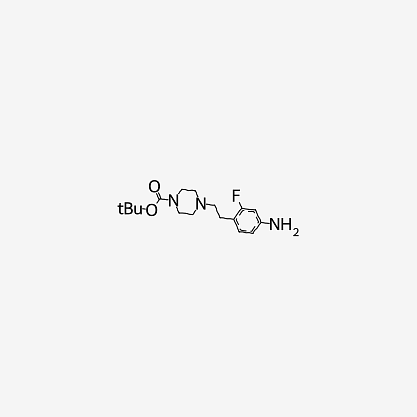 CC(C)(C)OC(=O)N1CCN(CCc2ccc(N)cc2F)CC1